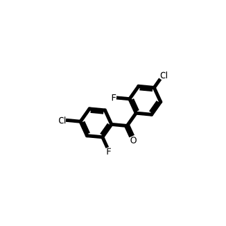 O=C(c1ccc(Cl)cc1F)c1ccc(Cl)cc1F